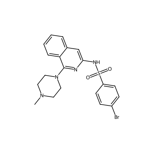 CN1CCN(c2nc(NS(=O)(=O)c3ccc(Br)cc3)cc3ccccc23)CC1